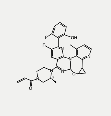 C=CC(=O)N1CCN(C2=NC(O)N(c3c(C)ccnc3C3CC3)c3nc(-c4c(O)cccc4F)c(F)cc32)[C@@H](C)C1